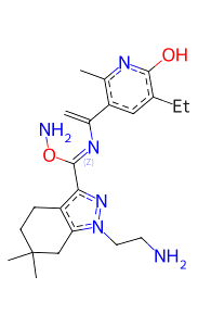 C=C(/N=C(\ON)c1nn(CCN)c2c1CCC(C)(C)C2)c1cc(CC)c(O)nc1C